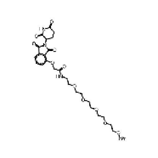 CCCOCCOCCOCCOCCOCCNC(=O)COc1cccc2c1C(=O)N(C1CCC(=O)NC1=O)C2=O